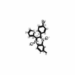 Cc1ccc2c(c1)[n+]([O-])c(-c1ccc(Br)cc1)c(-c1cccs1)[n+]2[O-]